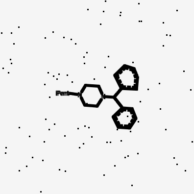 CC[CH]C(C)N1CCN(C(c2ccccc2)c2ccccc2)CC1